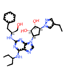 CCc1cnn([C@H]2C[C@@H](n3cnc4c(NC(CC)CC)nc(N[C@H](CO)Cc5ccccc5)nc43)[C@H](O)[C@@H]2O)c1